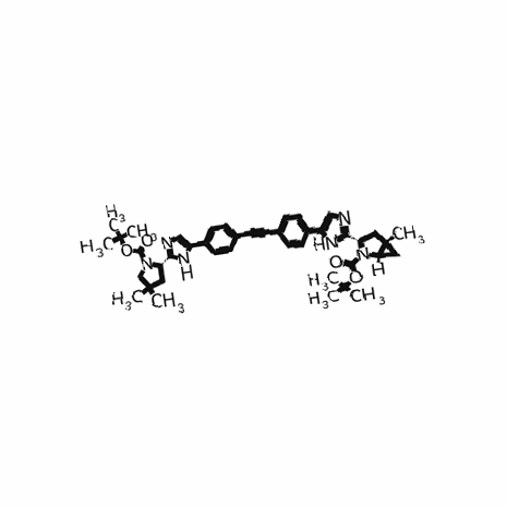 CC1(C)C[C@@H](c2ncc(-c3ccc(C#Cc4ccc(-c5cnc([C@@H]6C[C@]7(C)C[C@@H]7N6C(=O)OC(C)(C)C)[nH]5)cc4)cc3)[nH]2)N(C(=O)OC(C)(C)C)C1